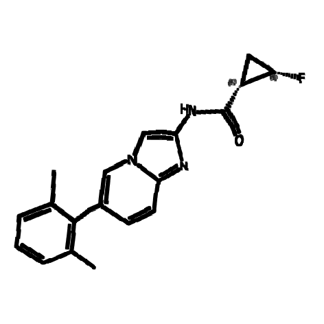 Cc1cccc(C)c1-c1ccc2nc(NC(=O)[C@@H]3C[C@@H]3F)cn2c1